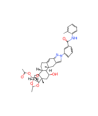 CC(=O)OCC(=O)[C@@]12OC(C)O[C@@H]1C[C@H]1[C@@H]3CCC4=Cc5nn(-c6cccc(C(=O)Nc7ccccc7C)c6)cc5C[C@]4(C)[C@H]3[C@@H](O)C[C@@]12C